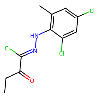 CCC(=O)C(Cl)=NNc1c(C)cc(Cl)cc1Cl